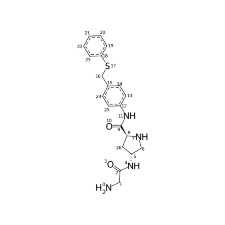 NCC(=O)N[C@H]1CN[C@H](C(=O)Nc2ccc(CSc3ccccc3)cc2)C1